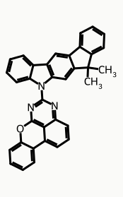 CC1(C)c2ccccc2-c2cc3c4ccccc4n(-c4nc5c6c(cccc6n4)-c4ccccc4O5)c3cc21